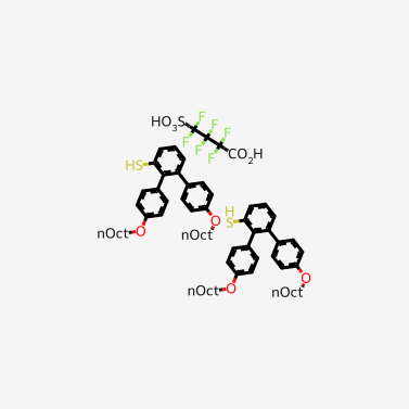 CCCCCCCCOc1ccc(-c2cccc(S)c2-c2ccc(OCCCCCCCC)cc2)cc1.CCCCCCCCOc1ccc(-c2cccc(S)c2-c2ccc(OCCCCCCCC)cc2)cc1.O=C(O)C(F)(F)C(F)(F)C(F)(F)S(=O)(=O)O